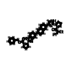 CC[C@H](C(=O)N1CCC[C@H]1c1nc(-c2ccc3cc(-c4ccc5[nH]c([C@@H]6CCCN6C(=O)OCc6ccccc6)nc5c4)ccc3c2)c[nH]1)C(C)C